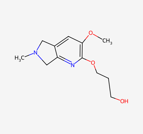 COc1cc2c(nc1OCCCO)CN(C)C2